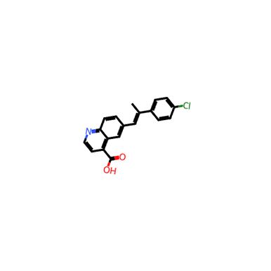 C/C(=C\c1ccc2nccc(C(=O)O)c2c1)c1ccc(Cl)cc1